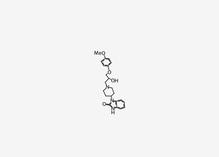 COc1ccc(OCC(O)CN2CCC(n3c(=O)[nH]c4ccccc43)CC2)cc1